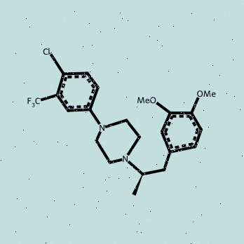 COc1ccc(C[C@@H](C)N2CCN(c3ccc(Cl)c(C(F)(F)F)c3)CC2)cc1OC